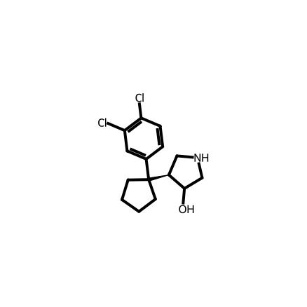 OC1CNC[C@@H]1C1(c2ccc(Cl)c(Cl)c2)CCCC1